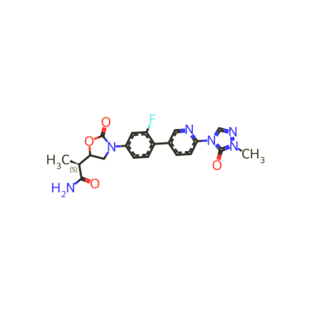 C[C@H](C(N)=O)C1CN(c2ccc(-c3ccc(-n4cnn(C)c4=O)nc3)c(F)c2)C(=O)O1